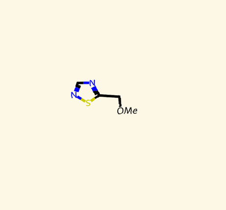 COCc1ncns1